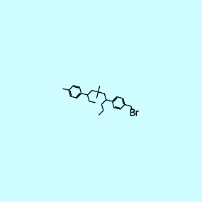 CCCC(CC(C)(C)CC(CC)c1ccc(C)cc1)c1ccc(CBr)cc1